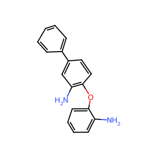 Nc1ccccc1Oc1ccc(-c2ccccc2)cc1N